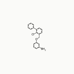 Bc1cccc(OCc2cccc(-c3ccccc3)c2Cl)c1